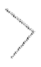 [K+].[K+].[K+].[K+].[K+].[K+].[K+].[K+].[K+].[K+].[K+].[K+].[K+].[K+].[K+].[K+].[K+].[K+].[K+].[K+].[K+].[K+].[K+].[K+].[K+].[K+].[K+].[K+].[K+].[K+].[K+].[K+].[K+].[K+]